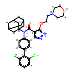 O=C(c1cn[nH]c1OCCN1CCOCC1)N(c1ccc(-c2c(Cl)cccc2Cl)cc1)C12CC3CC(CC(C3)C1)C2